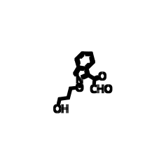 O=CC(=O)c1c2ccccc2cn1OCCCO